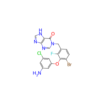 Nc1cc(Cl)cc(Oc2c(Br)ccc(Cn3cnc4nc[nH]c4c3=O)c2F)c1